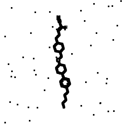 CCCCCc1ccc(C2CCC(OCC3CCC(CCC=C(F)C#N)CC3)CC2)cc1